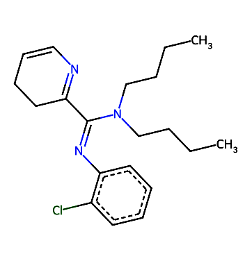 CCCCN(CCCC)C(=Nc1ccccc1Cl)C1=NC=CCC1